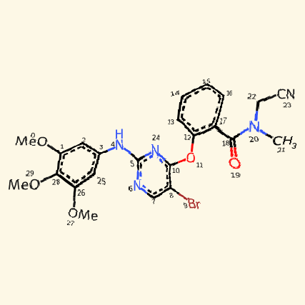 COc1cc(Nc2ncc(Br)c(Oc3ccccc3C(=O)N(C)CC#N)n2)cc(OC)c1OC